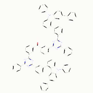 O=C(c1cccc(-c2nc(-c3ccccc3)nc(-c3cccc(-c4cccc5c4c4cc(-c6ccccc6)ccc4n5-c4ccccc4)c3)n2)c1)c1cccc(-c2nc(-c3ccccc3)nc(-c3cccc(-c4cccc5c4c4cc(-c6ccccc6)ccc4n5-c4ccccc4)c3)n2)c1